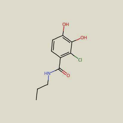 CCCNC(=O)c1ccc(O)c(O)c1Cl